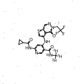 [2H]C([2H])([2H])NC(=O)c1cnc(NC(=O)C2CC2)cc1Nc1csc2cnn([C@H](C)C(F)(F)F)c(=O)c12